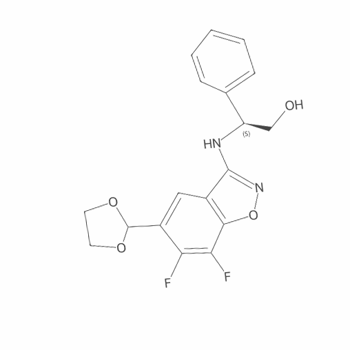 OC[C@@H](Nc1noc2c(F)c(F)c(C3OCCO3)cc12)c1ccccc1